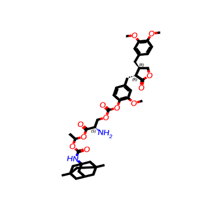 COc1ccc(C[C@H]2COC(=O)[C@@H]2Cc2ccc(OC(=O)OC[C@H](N)C(=O)OC(C)OC(=O)NC34CC5CC(C)(CC(C)(C5)C3)C4)c(OC)c2)cc1OC